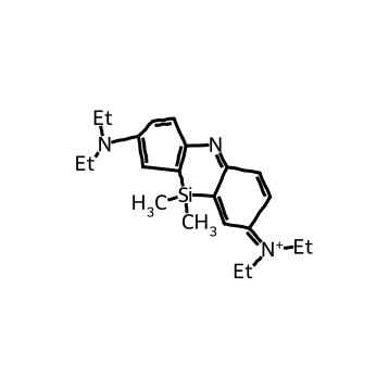 CCN(CC)c1ccc2c(c1)[Si](C)(C)C1=CC(=[N+](CC)CC)C=CC1=N2